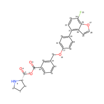 O=C(OC(=O)[C@@H]1CCCN1)c1cccc(COc2ccc(-c3ccc(F)c4occc34)cc2)c1